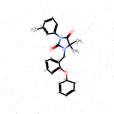 CC1(C)C(=O)N(c2cccc(C(F)(F)F)c2)C(=O)N1Cc1ccccc1OC1C=CC=CC1